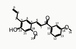 C=CCc1cc(/C=C/C(=O)c2cccc(OC)c2)c(OC)cc1O